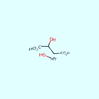 CCCO.O=C(O)CC(O)C(=O)O